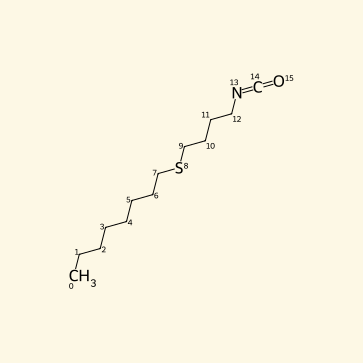 CCCCCCCCSCCCCN=C=O